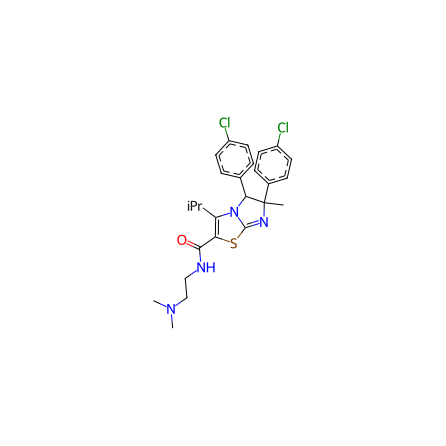 CC(C)C1=C(C(=O)NCCN(C)C)SC2=NC(C)(c3ccc(Cl)cc3)C(c3ccc(Cl)cc3)N21